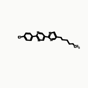 CCCCCCc1cnc(-c2cnc(-c3ccc(Cl)cc3)nc2)nc1